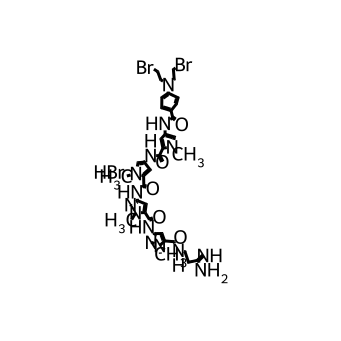 Br.Cn1cc(NC(=O)c2ccc(N(CCBr)CCBr)cc2)cc1C(=O)Nc1cc(C(=O)Nc2cc(C(=O)Nc3cc(C(=O)NCCC(=N)N)n(C)n3)n(C)n2)n(C)c1